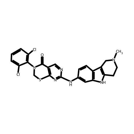 CN1CCc2[nH]c3cc(Nc4ncc5c(n4)SCN(c4c(Cl)cccc4Cl)C5=O)ccc3c2C1